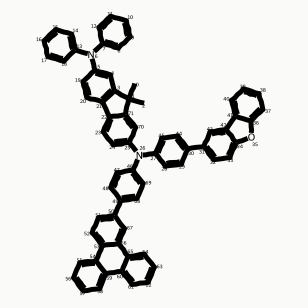 CC1(C)c2cc(N(c3ccccc3)c3ccccc3)ccc2-c2ccc(N(c3ccc(-c4ccc5oc6ccccc6c5c4)cc3)c3ccc(-c4ccc5c6ccccc6c6ccccc6c5c4)cc3)cc21